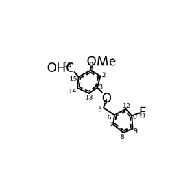 COc1cc(OCc2cccc(F)c2)ccc1C=O